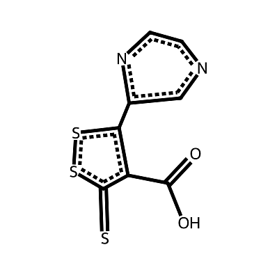 O=C(O)c1c(-c2cnccn2)ssc1=S